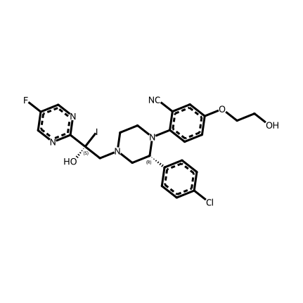 N#Cc1cc(OCCO)ccc1N1CCN(C[C@](O)(I)c2ncc(F)cn2)C[C@H]1c1ccc(Cl)cc1